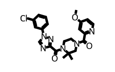 COc1ccnc(C(=O)N2CCN(C(=O)c3ncn(-c4cccc(Cl)c4)n3)C(C)(C)C2)c1